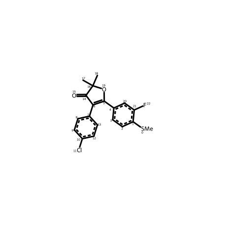 CSc1ccc(C2=C(c3ccc(Cl)cc3)C(=O)C(C)(C)O2)cc1F